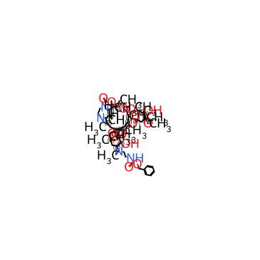 CC[C@H]1OC(=O)[C@H](C)[C@@H](O[C@H]2C[C@@](C)(OC)[C@@H](O)[C@H](C)O2)[C@H](C)[C@@H](O[C@@H]2O[C@H](C)C[C@H](N(C)CCNC(=O)OCc3ccccc3)[C@H]2O)[C@@](C)(OC)C[C@@H](C)C2=NCCN3C(=O)O[C@@]1(C)[C@H]3[C@H]2C